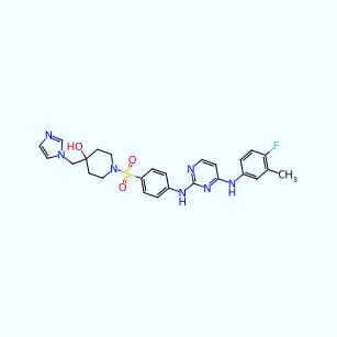 Cc1cc(Nc2ccnc(Nc3ccc(S(=O)(=O)N4CCC(O)(Cn5ccnc5)CC4)cc3)n2)ccc1F